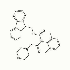 Cc1cccc(C)c1N(C(=O)CN1CCNCC1)C(=O)OCC1c2ccccc2-c2ccccc21